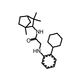 CC12CCC(C1)C(C)(C)C2NC(=O)CNc1ccccc1C1CCCCC1